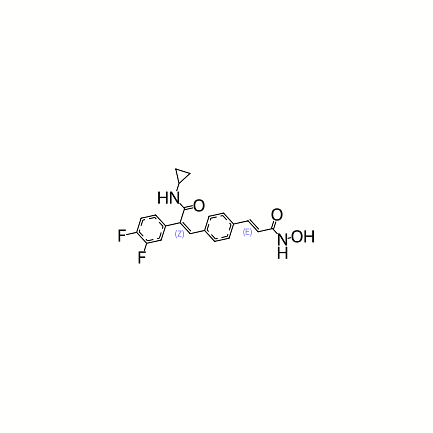 O=C(/C=C/c1ccc(/C=C(\C(=O)NC2CC2)c2ccc(F)c(F)c2)cc1)NO